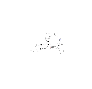 COC[C@@H]1C[C@H](C)CC/C=C\[C@@H]2C[C@@]2(C(=O)NS(=O)(=O)C2CC2)NC(=O)[C@@H]2C[C@@H](Oc3nc4cc(OC)ccc4nc3C(F)(F)F)CN2C(=O)[C@H]1NC(=O)O